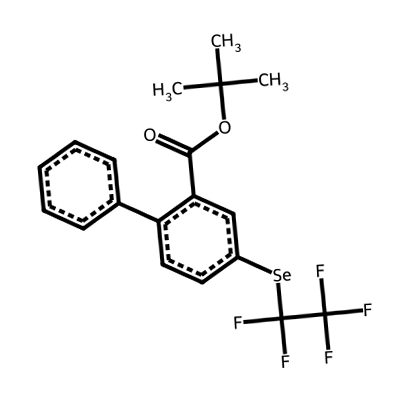 CC(C)(C)OC(=O)c1cc([Se]C(F)(F)C(F)(F)F)ccc1-c1ccccc1